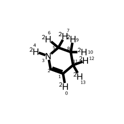 [2H]C1=CN([2H])C([2H])([2H])C([2H])([2H])C1([2H])[2H]